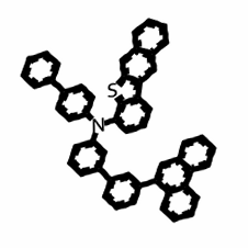 c1ccc(-c2ccc(N(c3cccc(-c4cccc(-c5cc6ccccc6c6ccccc56)c4)c3)c3cccc4c3sc3cc5ccccc5cc34)cc2)cc1